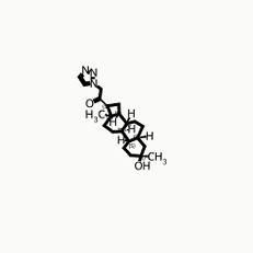 C[C@@]1(O)CC[C@H]2[C@H](CC[C@@H]3[C@@H]2CC[C@]2(C)[C@@H](C(=O)Cn4ccnn4)C[C@@H]32)C1